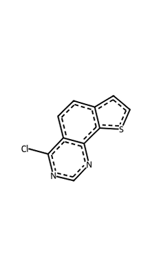 Clc1ncnc2c1ccc1ccsc12